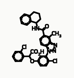 Cc1c(C(=O)NC2CCCc3ccccc32)ccc2c1nnn2-c1cc(OC(C(=O)O)c2ccccc2Cl)ccc1Cl